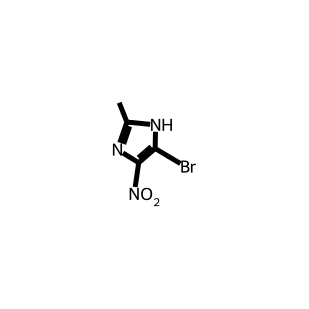 Cc1nc([N+](=O)[O-])c(Br)[nH]1